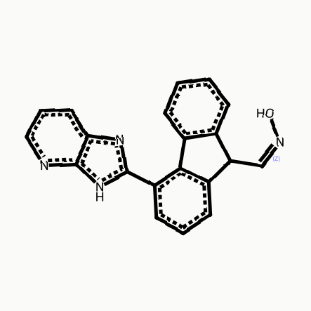 O/N=C\C1c2ccccc2-c2c(-c3nc4cccnc4[nH]3)cccc21